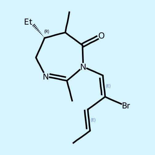 C/C=C/C(Br)=C\N1C(=O)C(C)[C@@H](CC)CN=C1C